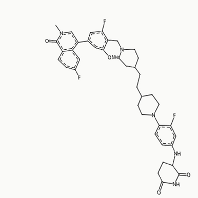 COc1cc(-c2cn(C)c(=O)c3ccc(F)cc23)cc(F)c1CN1CCC(CCC2CCN(c3ccc(NC4CCC(=O)NC4=O)cc3F)CC2)CC1